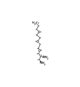 CCCOCCOCCOCC(N)CN